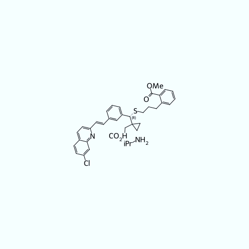 CC(C)N.COC(=O)c1ccccc1CCCS[C@@H](c1cccc(C=Cc2ccc3ccc(Cl)cc3n2)c1)C1(CC(=O)O)CC1